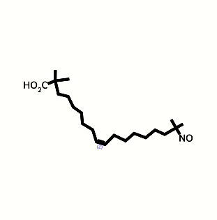 CC(C)(CCCCCC/C=C\CCCCCCC(C)(C)C(=O)O)N=O